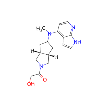 CN(c1ccnc2[nH]ccc12)C1C[C@@H]2CN(C(=O)CO)C[C@@H]2C1